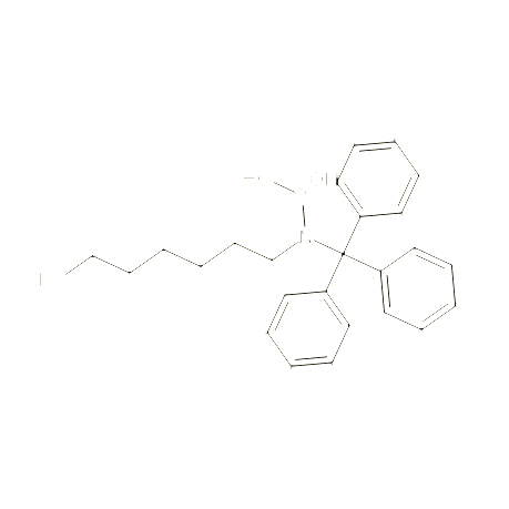 OP(O)N(CCCCCCS)C(c1ccccc1)(c1ccccc1)c1ccccc1